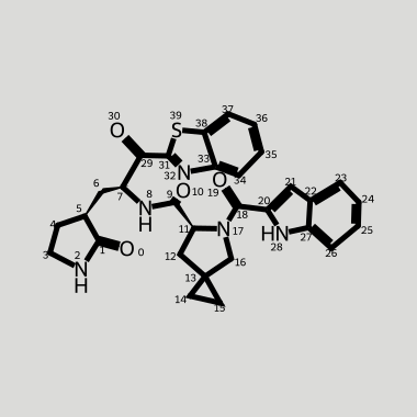 O=C1NCC[C@H]1C[C@H](NC(=O)[C@@H]1CC2(CC2)CN1C(=O)c1cc2ccccc2[nH]1)C(=O)c1nc2ccccc2s1